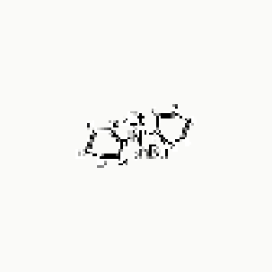 CCCC[N+](CC)(c1ccccc1)c1ccccc1